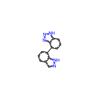 c1cc(-c2cccc3[nH]nnc23)c2[nH]ncc2c1